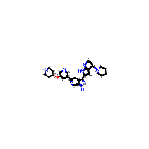 c1cc(N2CCCCC2)c2cc(-c3n[nH]c4cnc(-c5cncc(OC6CCNCC6)c5)cc34)[nH]c2n1